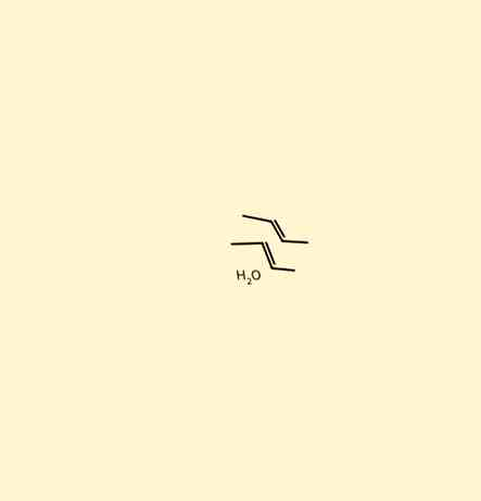 CC=CC.CC=CC.O